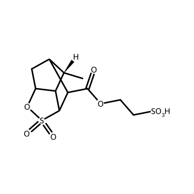 C[C@H]1C2CC3OS(=O)(=O)C(C2C(=O)OCCS(=O)(=O)O)C31